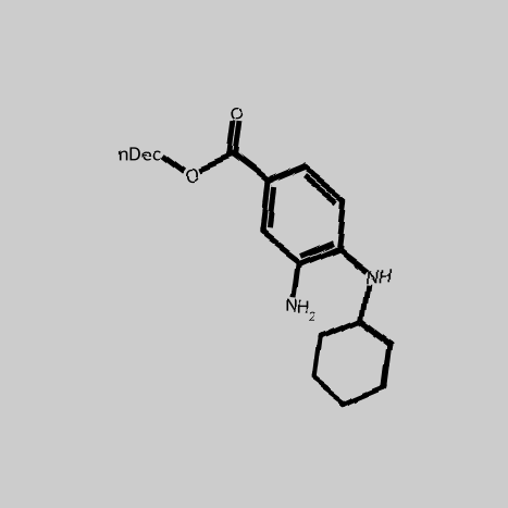 CCCCCCCCCCOC(=O)c1ccc(NC2CCCCC2)c(N)c1